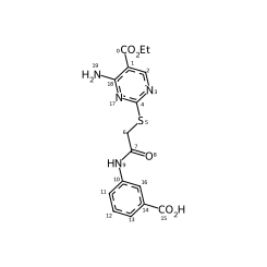 CCOC(=O)c1cnc(SCC(=O)Nc2cccc(C(=O)O)c2)nc1N